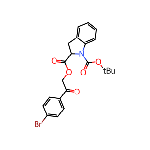 CC(C)(C)OC(=O)N1c2ccccc2CC1C(=O)OCC(=O)c1ccc(Br)cc1